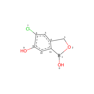 OB1OCc2cc(Cl)c(O)cc21